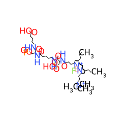 CCCC1=CC(CCC(=O)NC(CS(=O)(=O)O)C(=O)NCCCCC(=O)NC(COP=O)C(=O)NCCCCC(=O)O)=[N+]2B(F)n3c(CCC[N+](C)(C)C)cc(CCC)c3C=C12